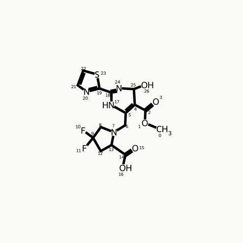 COC(=O)C1=C(CN2CC(F)(F)CC2C(=O)O)NC(c2nccs2)=NC1O